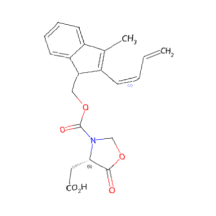 C=C/C=C\C1=C(C)c2ccccc2C1COC(=O)N1COC(=O)[C@@H]1CC(=O)O